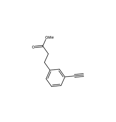 C#Cc1cccc(CCC(=O)OC)c1